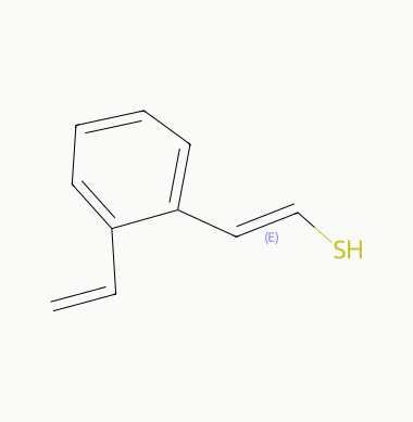 C=Cc1ccccc1/C=C/S